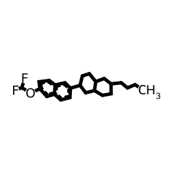 CCCCC1CCC2CC(c3ccc4cc(OC(F)F)ccc4c3)CCC2C1